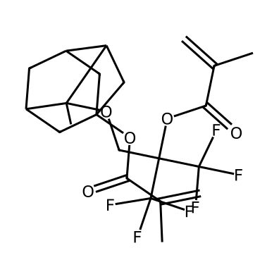 C=C(C)C(=O)OC12CC3CC(C1)C(C)(OCC(OC(=O)C(=C)C)(C(F)(F)F)C(F)(F)F)C3C2